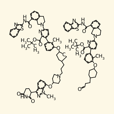 Cc1c(OC2CCC(CCC=O)CC2)cccc1-c1ccc(N2CCc3cccc(C(=O)Nc4nc5ccccc5s4)c3C2)nc1C(=O)OC(C)(C)C.Cc1c(OC2CCC(CCCN3CCC(Oc4cccc5c(C6CCC(=O)NC6=O)nn(C)c45)CC3)CC2)cccc1-c1ccc(N2CCc3cccc(C(=O)Nc4nc5ccccc5s4)c3C2)nc1C(=O)OC(C)(C)C